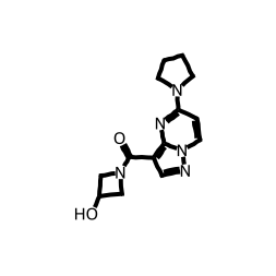 O=C(c1cnn2ccc(N3CCCC3)nc12)N1CC(O)C1